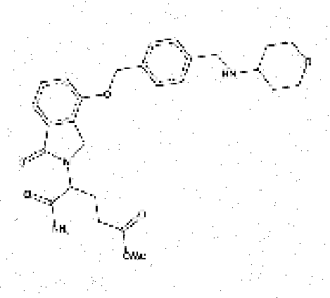 COC(=O)CCC(C(N)=O)N1Cc2c(OCc3ccc(CNC4CCOCC4)cc3)cccc2C1=O